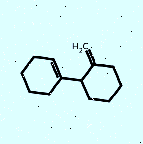 C=C1CCCCC1C1=CCCCC1